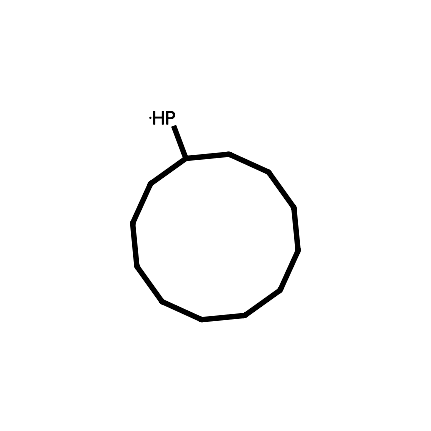 [PH]C1CCCCCCCCCCC1